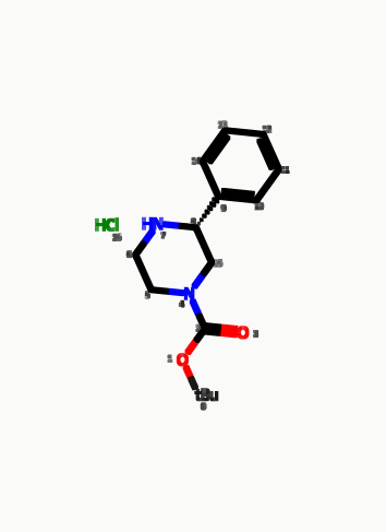 CC(C)(C)OC(=O)N1CCN[C@H](c2ccccc2)C1.Cl